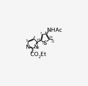 CCOC(=O)c1nccc(-c2cc(NC(C)=O)c(C)s2)n1